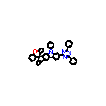 c1ccc(-c2nc(-c3ccccc3)nc(-c3ccc4c5cc6c(cc5n(-c5ccccc5)c4c3)C3(c4ccccc4Oc4ccccc43)c3ccccc3-6)n2)cc1